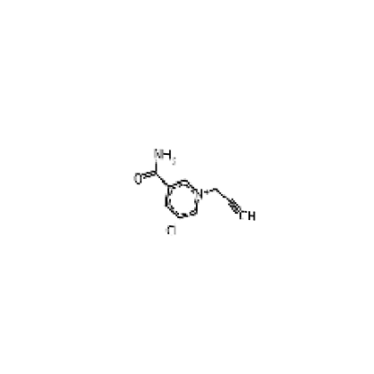 C#CC[n+]1cccc(C(N)=O)c1.[Cl-]